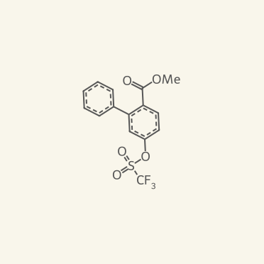 COC(=O)c1ccc(OS(=O)(=O)C(F)(F)F)cc1-c1ccccc1